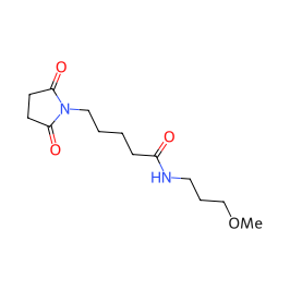 COCCCNC(=O)CCCCN1C(=O)CCC1=O